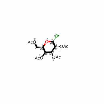 CC(=O)OC[C@H]1O[C@H](Br)[C@H](OC(C)=O)[C@@H](OC(C)=O)C1OC(C)=O